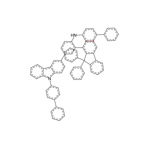 c1ccc(-c2ccc(Nc3ccc(-c4ccc5c(c4)c4ccccc4n5-c4ccc(-c5ccccc5)cc4)cc3-c3cccc4c3C(c3ccccc3)(c3ccccc3)c3ccccc3-4)cc2)cc1